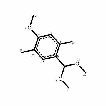 COc1cc(C)c(C(OC)OC)cc1C